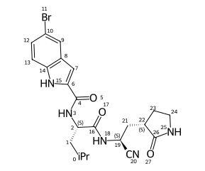 CC(C)C[C@H](NC(=O)c1cc2cc(Br)ccc2[nH]1)C(=O)N[C@H](C#N)C[C@@H]1CCNC1=O